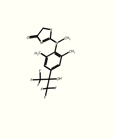 Cc1cc(C(O)(C(F)(F)F)C(F)(F)F)cc(C)c1N(C)C1=NC(=O)CS1